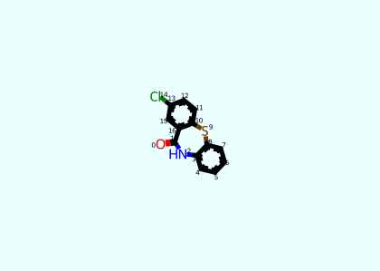 O=C1Nc2ccccc2Sc2ccc(Cl)cc21